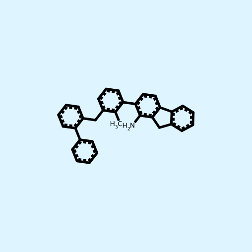 Cc1c(Cc2ccccc2-c2ccccc2)cccc1-c1ccc2c(c1N)Cc1ccccc1-2